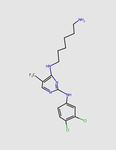 NCCCCCCNc1nc(Nc2ccc(Cl)c(Cl)c2)ncc1C(F)(F)F